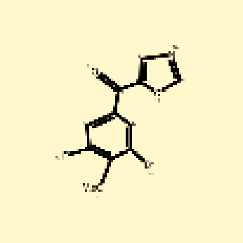 COc1c(F)cc(C(=O)c2cnco2)cc1Br